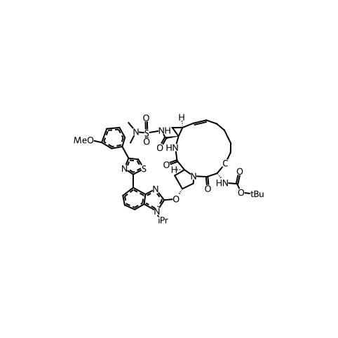 COc1cccc(-c2csc(-c3cccc4c3nc(O[C@@H]3C[C@H]5C(=O)N[C@]6(C(=O)NS(=O)(=O)N(C)C)C[C@H]6/C=C\CCCCC[C@H](NC(=O)OC(C)(C)C)C(=O)N5C3)n4C(C)C)n2)c1